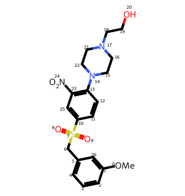 COc1cccc(CS(=O)(=O)c2ccc(N3CCN(CCO)CC3)c([N+](=O)[O-])c2)c1